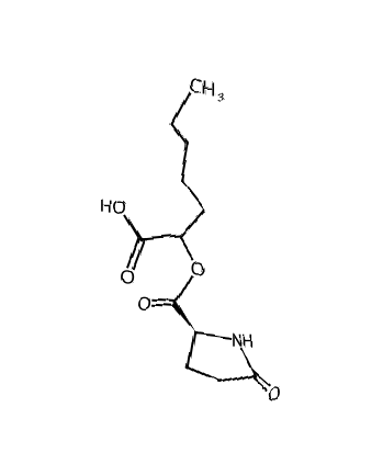 CCCCCC(OC(=O)[C@@H]1CCC(=O)N1)C(=O)O